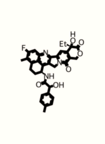 CC[C@@]1(O)C(=O)OCc2c1cc1n(c2=O)Cc2c-1nc1cc(F)c(C)c3c1c2[C@@H](NC(=O)C(O)c1ccc(C)cc1)CC3